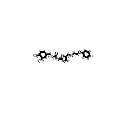 O=C(NCc1ccc(Cl)c(Cl)c1)Nc1nc(COCCOc2ccccc2)cs1